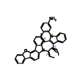 C/C=C\c1c(CC)c2ccccc2n1-c1cc(N)ccc1-c1ccc2c3c4oc5ccccc5c4ccc3n(C(/C=C\I)=C/C)c2c1